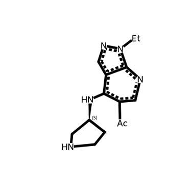 CCn1ncc2c(N[C@H]3CCNC3)c(C(C)=O)cnc21